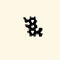 COc1cccc(Oc2ncccc2[N+](=O)[O-])c1OC